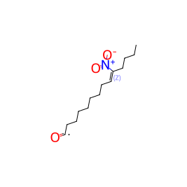 CCCC/C(=C/CCCCCCC[C]=O)[N+](=O)[O-]